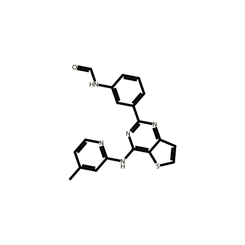 Cc1ccnc(Nc2nc(-c3cccc(NC=O)c3)nc3ccsc23)c1